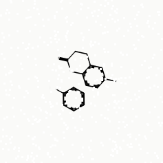 Cc1ccc2c(c1)CCC(=O)N2.Oc1ccccc1